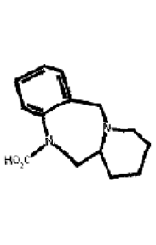 O=C(O)N1CC2CCCCN2Cc2ccccc21